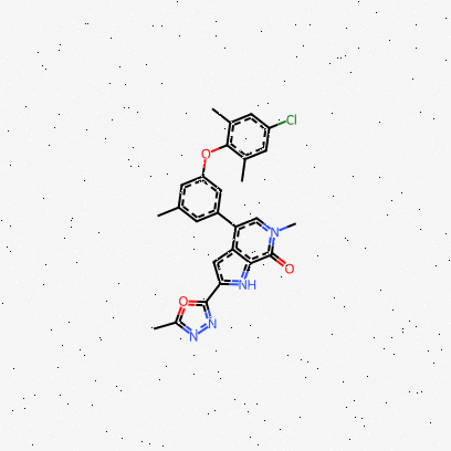 Cc1cc(Oc2c(C)cc(Cl)cc2C)cc(-c2cn(C)c(=O)c3[nH]c(-c4nnc(C)o4)cc23)c1